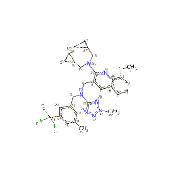 CCc1cccc2cc(CN(Cc3cc(C)cc(C(F)(F)F)c3)c3nnn(C)n3)c(N(CC3CC3)CC3CC3)nc12